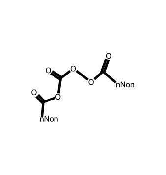 CCCCCCCCCC(=O)OOC(=O)OC(=O)CCCCCCCCC